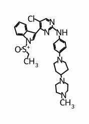 CC[S+]([O-])n1cc(-c2nc(Nc3ccc(N4CCC(N5CCN(C)CC5)CC4)cc3)ncc2Cl)c2ccccc21